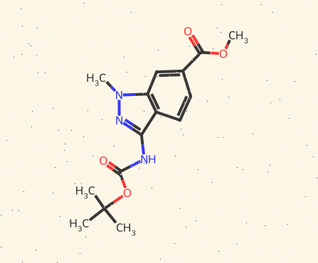 COC(=O)c1ccc2c(NC(=O)OC(C)(C)C)nn(C)c2c1